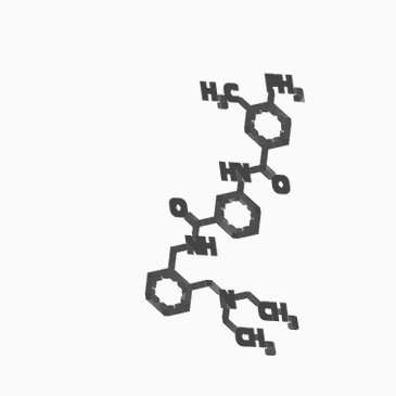 CCN(CC)Cc1ccccc1CNC(=O)c1cccc(NC(=O)c2ccc(P)c(C)c2)c1